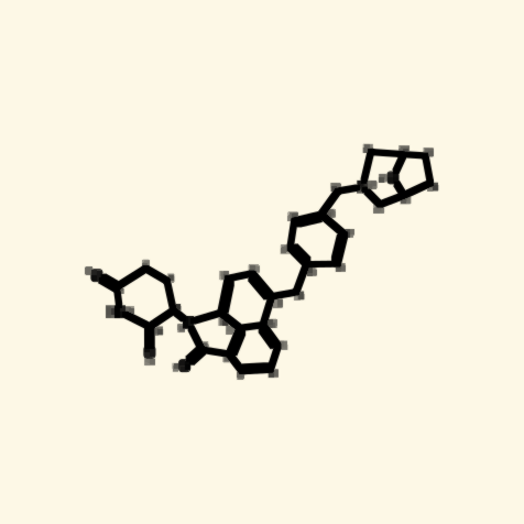 O=C1CCC(N2C(=O)c3cccc4c(Cc5ccc(CN6CC7CCC(C6)O7)cc5)ccc2c34)C(=O)N1